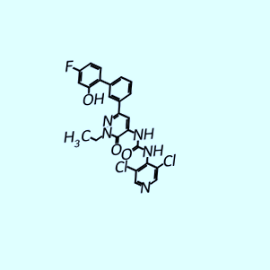 CCn1nc(-c2cccc(-c3ccc(F)cc3O)c2)cc(NC(=O)Nc2c(Cl)cncc2Cl)c1=O